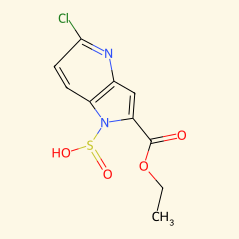 CCOC(=O)c1cc2nc(Cl)ccc2n1S(=O)O